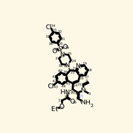 C=CN(C)/C(=C\N)[C@H](NC(=O)COCC)C1=Cc2cccnc2[C@@H](N2CCN(S(=O)(=O)c3ccc(Cl)cc3)CC2)c2ccc(Cl)cc21